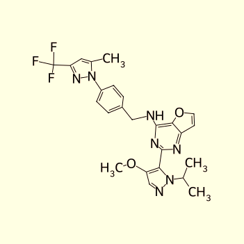 COc1cnn(C(C)C)c1-c1nc(NCc2ccc(-n3nc(C(F)(F)F)cc3C)cc2)c2occc2n1